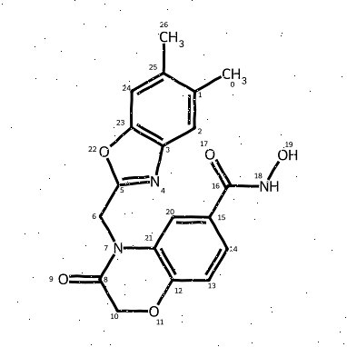 Cc1cc2nc(CN3C(=O)COc4ccc(C(=O)NO)cc43)oc2cc1C